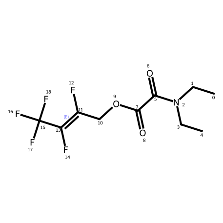 CCN(CC)C(=O)C(=O)OC/C(F)=C(\F)C(F)(F)F